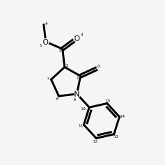 C=C1C(C(=O)OC)CCN1c1ccccc1